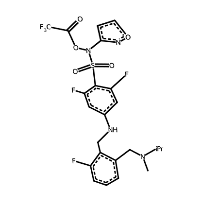 CC(C)N(C)Cc1cccc(F)c1CNc1cc(F)c(S(=O)(=O)N(OC(=O)C(F)(F)F)c2ccon2)c(F)c1